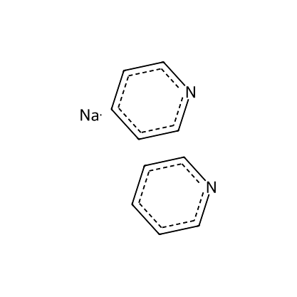 [Na].c1ccncc1.c1ccncc1